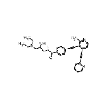 CCN(CC)CC(O)CNC(=O)c1ccc(C#Cc2c(C#Cc3ccccn3)ccnc2N)cc1